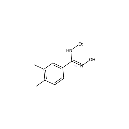 CCN/C(=N\O)c1ccc(C)c(C)c1